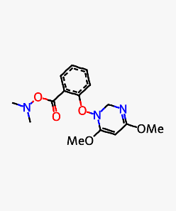 COC1=CC(OC)=NCN1Oc1ccccc1C(=O)ON(C)C